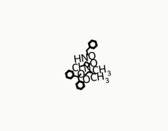 CC(C)=C(C(=O)OC(c1ccccc1)c1ccccc1)N1C(=O)C(NC(=O)Cc2ccccc2)C1Cl